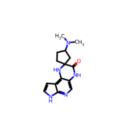 CN(C)C1CCC2(C1)Nc1c(cnc3[nH]ccc13)NC2=O